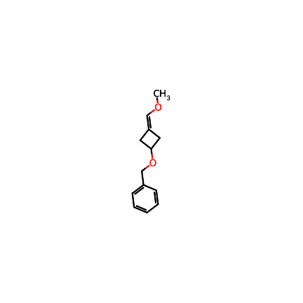 COC=C1CC(OCc2ccccc2)C1